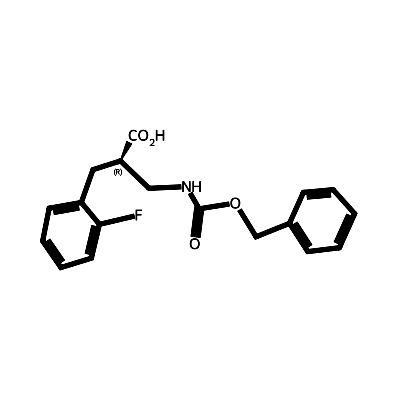 O=C(NC[C@@H](Cc1ccccc1F)C(=O)O)OCc1ccccc1